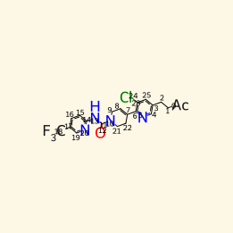 CC(=O)CCc1cnc(C2=CCN(C(=O)Nc3ccc(C(F)(F)F)cn3)CC2)c(Cl)c1